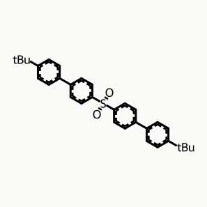 CC(C)(C)c1ccc(-c2ccc(S(=O)(=O)c3ccc(-c4ccc(C(C)(C)C)cc4)cc3)cc2)cc1